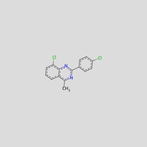 Cc1nc(-c2ccc(Cl)cc2)nc2c(Cl)cccc12